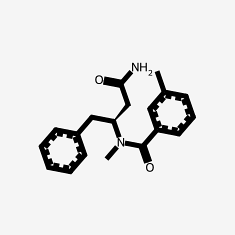 Cc1cccc(C(=O)N(C)[C@H](CC(N)=O)Cc2ccccc2)c1